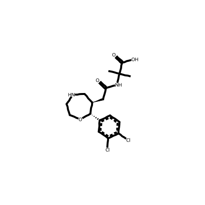 CC(C)(NC(=O)C[C@@H]1CNCCO[C@H]1c1ccc(Cl)c(Cl)c1)C(=O)O